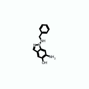 Nc1cc2c(cnn2NCc2ccccc2)cc1O